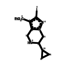 CCOC(=O)c1c(I)nn2c1CNC(C1CC1)C2